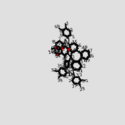 Cc1ccc(N(c2ccc(C)c(C)c2)c2ccc3c(c2)C2(c4cc(N(c5ccc(C)c(C)c5)c5ccc(C)c(C)c5)ccc4-c4ccccc4-3)c3ccccc3-c3c2ccc2ccccc32)cc1C